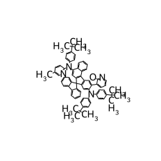 Cc1ccc(N(c2ccc(C(C)(C)C)cc2)c2cc3c(c4ccccc24)-c2c(cc(N(c4ccc(C(C)(C)C)cc4)c4ccc(C(C)(C)C)cc4)c4c2oc2ncccc24)C32c3ccccc3-c3ccccc32)nc1